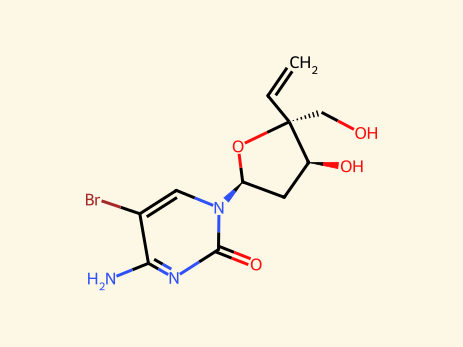 C=C[C@]1(CO)O[C@H](n2cc(Br)c(N)nc2=O)C[C@@H]1O